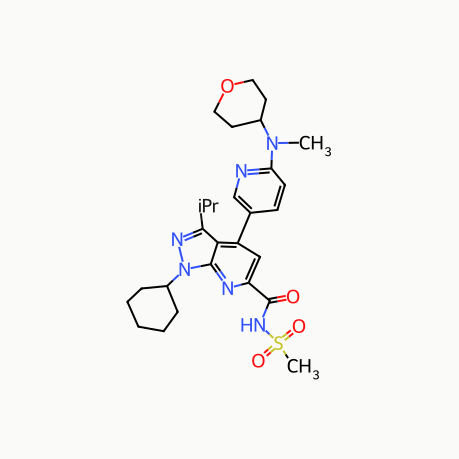 CC(C)c1nn(C2CCCCC2)c2nc(C(=O)NS(C)(=O)=O)cc(-c3ccc(N(C)C4CCOCC4)nc3)c12